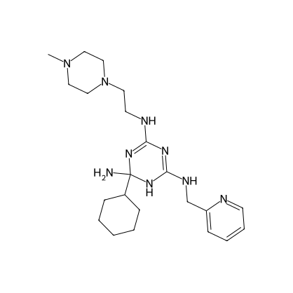 CN1CCN(CCNC2=NC(N)(C3CCCCC3)NC(NCc3ccccn3)=N2)CC1